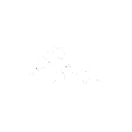 COc1ncc(-n2nc(-c3ccnc(C(C)N4CCN(C(C)C)CC4=O)c3)c3c2CCOCC3)cc1F